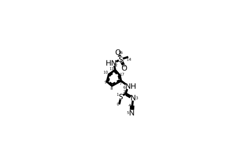 CS/C(=N\C#N)Nc1cccc(NS(C)(=O)=O)c1